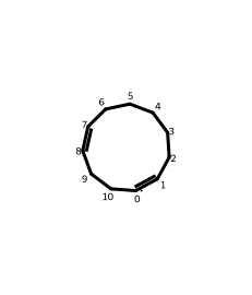 [C]1=CCCCCCC=CCC1